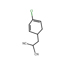 N#CC(C#N)CC1C=CC(Cl)=CC1